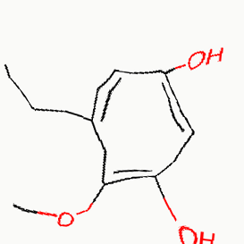 CCc1cc(O)cc(O)c1OC